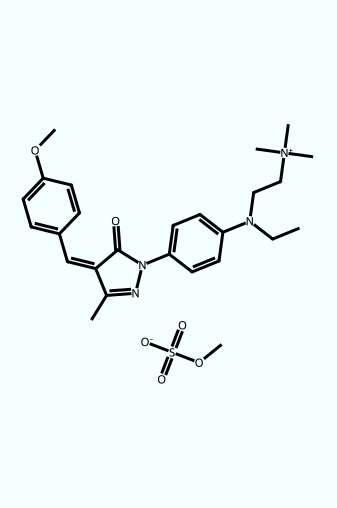 CCN(CC[N+](C)(C)C)c1ccc(N2N=C(C)C(=Cc3ccc(OC)cc3)C2=O)cc1.COS(=O)(=O)[O-]